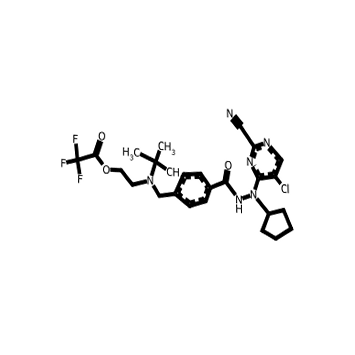 CC(C)(C)N(CCOC(=O)C(F)(F)F)Cc1ccc(C(=O)NN(c2nc(C#N)ncc2Cl)C2CCCC2)cc1